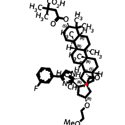 C=C(C)[C@H]1CC[C@H]2CC[C@]3(C)[C@@H](CC[C@@H]4[C@@]5(C)CC[C@H](OC(=O)CC(C)(C)C(=O)O)C(C)(C)[C@@H]5CC[C@]43C)[C@@]21C(=O)N1C[C@H](OCCOC)C[C@H]1c1nc(-c2cccc(F)c2)c[nH]1